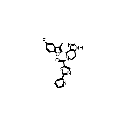 Cc1c([C@@H]2c3nc[nH]c3CCN2C(=O)c2cnc(-c3ccccn3)s2)oc2ccc(F)cc12